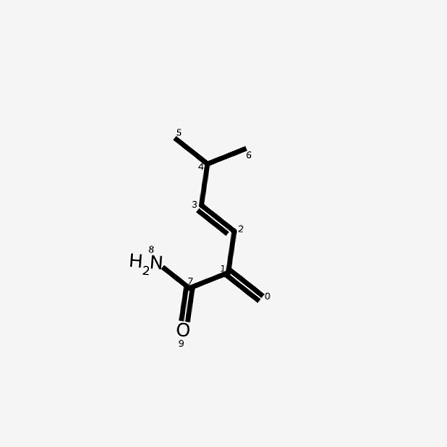 C=C(C=CC(C)C)C(N)=O